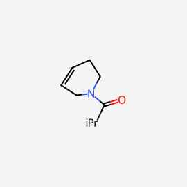 CC(C)C(=O)N1CC=[C]CC1